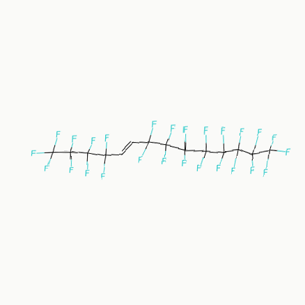 FC(F)(F)C(F)(F)C(F)(F)C(F)(F)C=CC(F)(F)C(F)(F)C(F)(F)C(F)(F)C(F)(F)C(F)(F)C(F)(F)C(F)(F)F